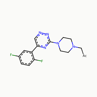 CC(=O)CN1CCN(c2nncc(-c3cc(F)ccc3F)n2)CC1